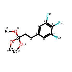 CCO[Si](CCc1cc(F)c(F)c(F)c1)(OCC)OCC